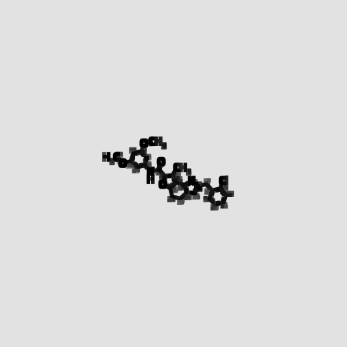 COc1cc(NC(=O)c2oc3c(c2C)-c2nn(Cc4ccccc4Cl)cc2CC3)cc(OC)c1